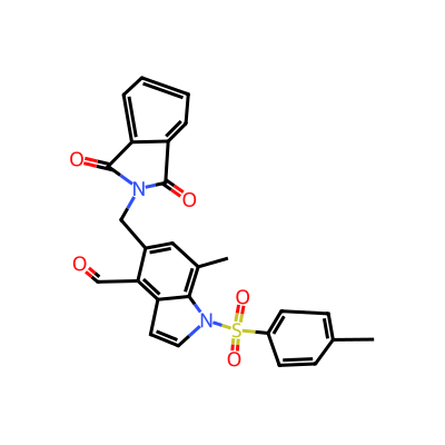 Cc1ccc(S(=O)(=O)n2ccc3c(C=O)c(CN4C(=O)c5ccccc5C4=O)cc(C)c32)cc1